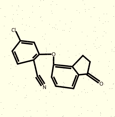 N#Cc1ccc(Cl)cc1Oc1cccc2c1CCC2=O